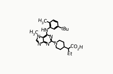 CCC(C(=O)O)C1CCN(c2nc(Nc3cc(C(C)(C)C)ccc3C)c3c(ncn3C)n2)CC1